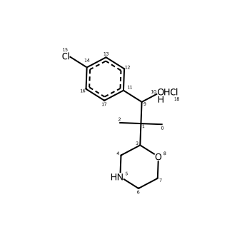 CC(C)(C1CNCCO1)C(O)c1ccc(Cl)cc1.Cl